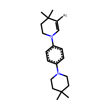 CC(=O)C1=CN(c2ccc(N3CCC(C)(C)CC3)cc2)CCC1(C)C